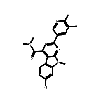 Cc1cc(-c2nc(C(=O)N(C)C)c3c4ccc(Cl)cc4n(C)c3n2)cnc1C